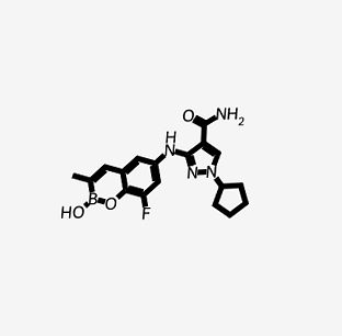 CC1=Cc2cc(Nc3nn(C4CCCC4)cc3C(N)=O)cc(F)c2OB1O